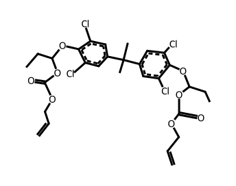 C=CCOC(=O)OC(CC)Oc1c(Cl)cc(C(C)(C)c2cc(Cl)c(OC(CC)OC(=O)OCC=C)c(Cl)c2)cc1Cl